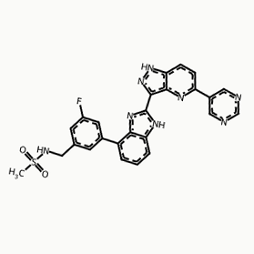 CS(=O)(=O)NCc1cc(F)cc(-c2cccc3[nH]c(-c4n[nH]c5ccc(-c6cncnc6)nc45)nc23)c1